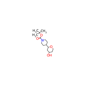 CC(C)(C)OC(=O)N1CCC(C2CC(O)CCO2)CC1